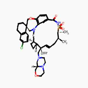 CO[C@]1(CN2CCN3CCOC[C@@H]3C2)/C=C/C[C@H](C)[C@@H](C)S(=O)(=O)NC(=O)c2ccc3c(c2)N(C[C@@H]2CC[C@H]21)C[C@@]1(CCCc2cc(Cl)ccc21)CO3